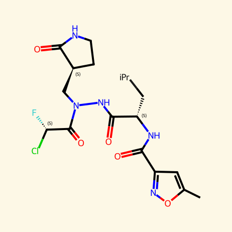 Cc1cc(C(=O)N[C@@H](CC(C)C)C(=O)NN(C[C@@H]2CCNC2=O)C(=O)[C@@H](F)Cl)no1